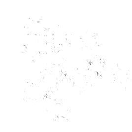 c1ccc(-c2nc(-c3ccccc3)nc(-c3cccc(-n4c5ccc(C(c6ccccc6)(c6ccccc6)c6ccccc6)cc5c5cc6c7ccccc7n(-c7ccccc7)c6cc54)c3)n2)cc1